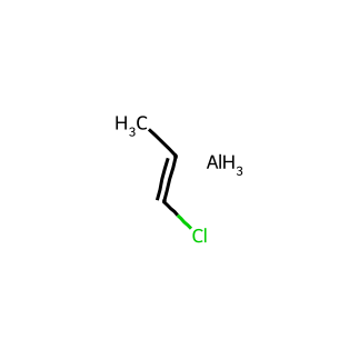 CC=CCl.[AlH3]